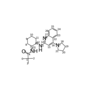 CC(C)(C)C(=O)N[C@H]1CCCC[C@@H]1Nc1cc(N2CCCC2)c2ccccc2n1